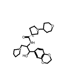 O=C(NC(CN1CCCC1)C(O)c1ccc2c(c1)OCCO2)[C@@H]1CCN(C2CCOCC2)C1